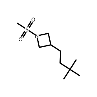 CC(C)(C)CCC1CN(S(C)(=O)=O)C1